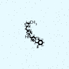 Cc1csc(Cc2nnc(Nc3ccn(Cc4c(F)cccc4Cl)n3)s2)n1